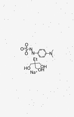 CCC(CO)(CO)CO.CN(C)c1ccc(/N=N/S(=O)(=O)[O-])cc1.[Na+]